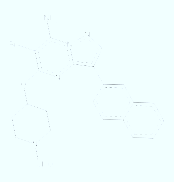 Nc1c(Br)c(OC2CCN(C=O)CC2)nc2c(-c3ccc4ccccc4c3)cnn12